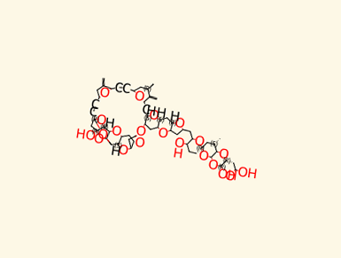 C=C1CC2CC[C@@]34C[C@@]5(O)OC6C(O3)[C@H]3OC(CCC3OC6[C@@H]5O4)CC(=O)OC3CC4OC5CC(CC6O[C@@]7(CCC6O)C[C@H](C)C6O[C@H](CC(=O)O)[C@H](O)OC6O7)O[C@@H]5C[C@@H]4O[C@H]3CC3OC(CCC1O2)C[C@@H](C)C3=C